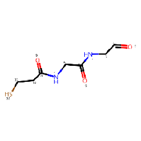 O=CCNC(=O)CNC(=O)CCS